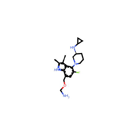 Cc1[nH]c2c(COCN)cc(F)c(N3CCC[C@H](NC4CC4)C3)c2c1C